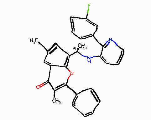 Cc1cc([C@@H](C)Nc2cccnc2-c2cccc(F)c2)c2oc(-c3ccccc3)c(C)c(=O)c2c1